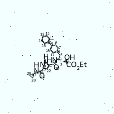 CCOC(=O)[C@H](O)C[C@@H](Cc1ccc(-c2ccccc2)cc1)NC(=O)c1cc(C(=O)NC2CC2)n[nH]1